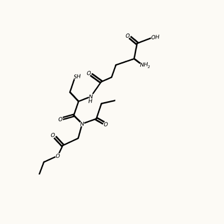 CCOC(=O)CN(C(=O)CC)C(=O)C(CS)NC(=O)CCC(N)C(=O)O